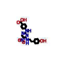 O=C(O)c1ccc(Nc2ncc([N+](=O)[O-])c(NCCc3ccc(O)cc3)n2)cc1